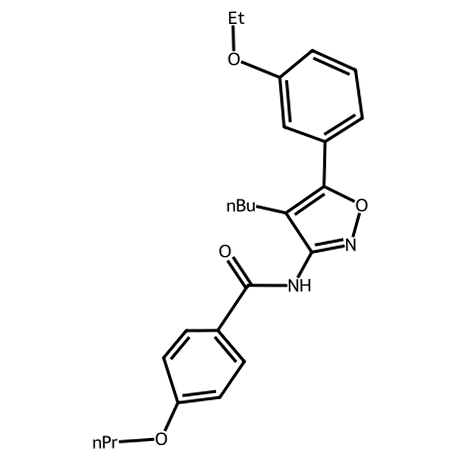 CCCCc1c(NC(=O)c2ccc(OCCC)cc2)noc1-c1cccc(OCC)c1